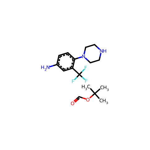 CC(C)(C)OC=O.Nc1ccc(N2CCNCC2)c(C(F)(F)F)c1